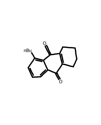 CCCCc1cccc2c1C(=O)C1=C(CCCC1)C2=O